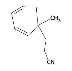 CC1(CCC#N)C=CC=CC1